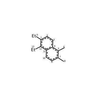 CCc1ccc2c(C)c(C)ccc2c1CC